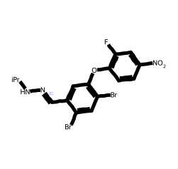 CC(C)N/N=C/c1cc(Oc2ccc([N+](=O)[O-])cc2F)c(Br)cc1Br